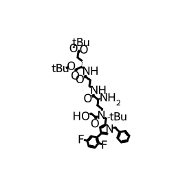 CC(C)(C)OC(=O)CC[C@H](NC(=O)CCNC(=O)[C@@H](N)CCN(C(=O)CO)[C@@H](c1cc(-c2cc(F)ccc2F)cn1Cc1ccccc1)C(C)(C)C)C(=O)OC(C)(C)C